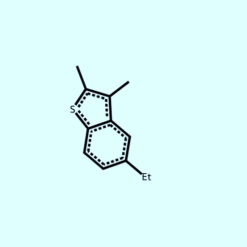 [CH2]Cc1ccc2sc(C)c(C)c2c1